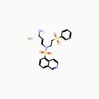 Cl.NCC=CN(CCS(=O)(=O)c1ccccc1)S(=O)(=O)c1cccc2cnccc12